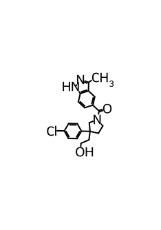 Cc1n[nH]c2ccc(C(=O)N3CCC(CCO)(c4ccc(Cl)cc4)C3)cc12